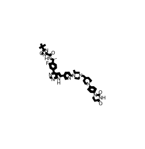 CC1CN(CC2CCN(c3ccc(N4CCC(=O)NC4=O)cc3)CC2)CCN1c1ccc(-c2cc3c(-c4ccc([C@@H](C)NC(=O)c5noc(C(C)(C)C)n5)c(F)c4)ncnc3[nH]2)cn1